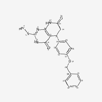 CCCSc1nc2c(c(=O)[nH]1)C(c1ccc(OCc3ccccc3)cc1)CC(=O)N2